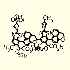 Cc1cc2nc(N3CC(S(C)(=O)=O)C3)sc2c(-c2ccc3c4c(ccnc24)CC(c2c(C)c([C@H](OC(C)(C)C)C(=O)O)c(-c4ccc5c6c(ccnc46)CCO5)c4sc(N5CC(C)C5)nc24)O3)c1[C@H](OC(C)(C)C)C(=O)O